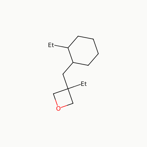 CCC1CCCCC1CC1(CC)COC1